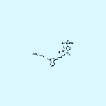 CCN1/C(=C/C=C/C=C/c2cc[n+](CCCCCC(=O)O)c3ccccc23)C(C)(C)c2cc(P(=O)(O)O)ccc21